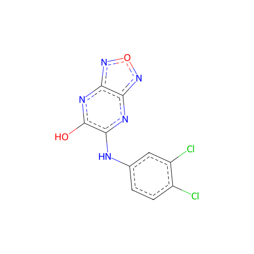 Oc1nc2nonc2nc1Nc1ccc(Cl)c(Cl)c1